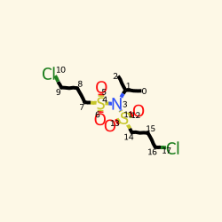 CC(C)N(S(=O)(=O)CCCCl)S(=O)(=O)CCCCl